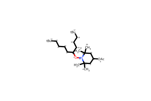 CC(=O)OC1CC(C)(C)N(OC(CCCCC(C)(C)C)CCCC(C)(C)C)C(C)(C)C1